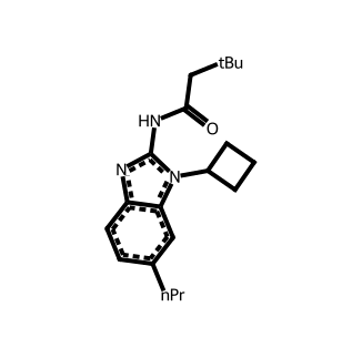 CCCc1ccc2nc(NC(=O)CC(C)(C)C)n(C3CCC3)c2c1